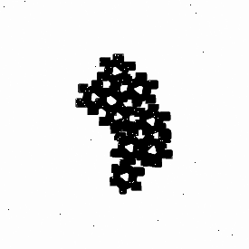 c1ccc(-c2ccc(N(c3ccc4c(c3)c(-c3ccccc3)c(-c3ccccc3)c3ccccc34)c3cccc4oc5ccccc5c34)cc2)cc1